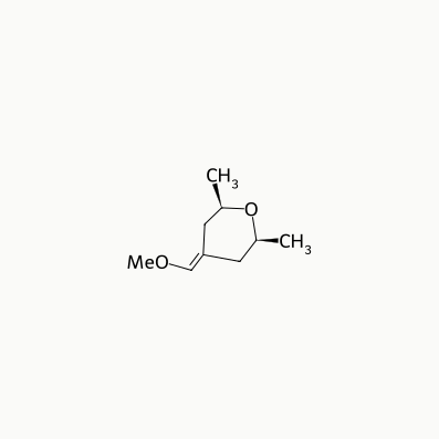 COC=C1C[C@@H](C)O[C@@H](C)C1